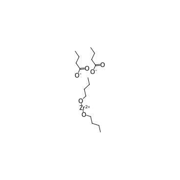 CCCC(=O)[O-].CCCC(=O)[O-].CCCC[O][Zr+2][O]CCCC